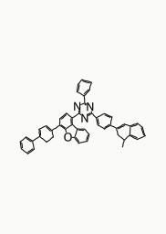 CC1CC(c2ccc(-c3nc(-c4ccccc4)nc(-c4ccc(C5=CC=C(c6ccccc6)CC5)c5oc6ccccc6c45)n3)cc2)=Cc2ccccc21